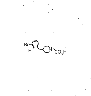 CCc1c(Br)cccc1C=C1CCN(CC(=O)O)CC1